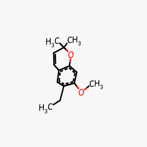 CCc1cc2c(cc1OC)OC(C)(C)C=C2